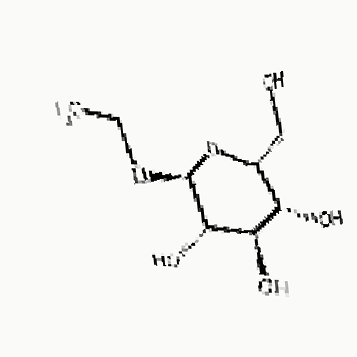 CCO[C@H]1O[C@H](CO)[C@H](O)[C@@H](O)[C@@H]1O